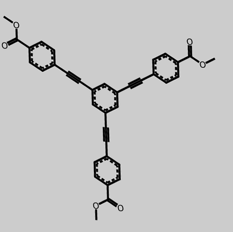 COC(=O)c1ccc(C#Cc2cc(C#Cc3ccc(C(=O)OC)cc3)cc(C#Cc3ccc(C(=O)OC)cc3)c2)cc1